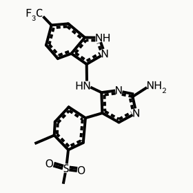 Cc1ccc(-c2cnc(N)nc2Nc2n[nH]c3cc(C(F)(F)F)ccc23)cc1S(C)(=O)=O